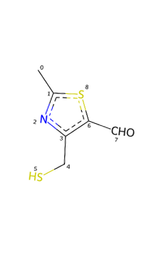 Cc1nc(CS)c(C=O)s1